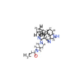 C=CC(=O)N1CC2(CCN(c3nc4c(c(-c5cccc6[nH]ccc56)c3C#N)C[C@H]3C[C@@H]4C3(C)C)C2)C1